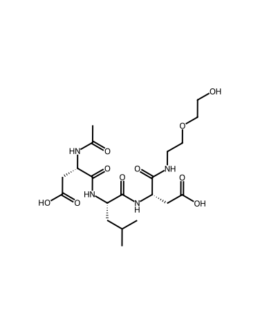 CC(=O)N[C@@H](CC(=O)O)C(=O)N[C@@H](CC(C)C)C(=O)N[C@@H](CC(=O)O)C(=O)NCCOCCO